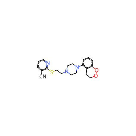 N#Cc1cccnc1SCCN1CCN(c2cccc3c2CCOO3)CC1